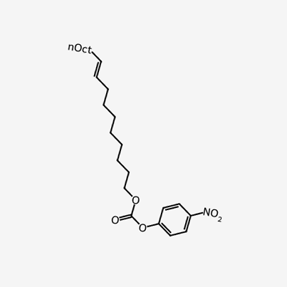 CCCCCCCCC=CCCCCCCCCOC(=O)Oc1ccc([N+](=O)[O-])cc1